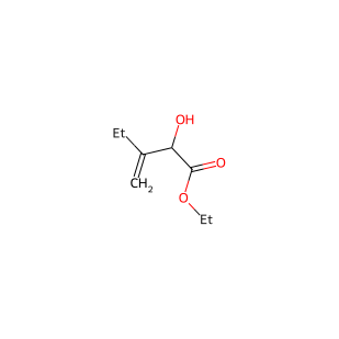 C=C(CC)C(O)C(=O)OCC